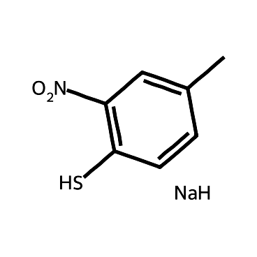 Cc1ccc(S)c([N+](=O)[O-])c1.[NaH]